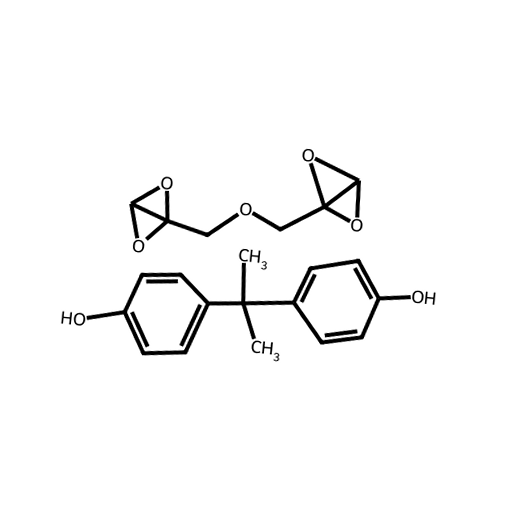 C(OCC12OC1O2)C12OC1O2.CC(C)(c1ccc(O)cc1)c1ccc(O)cc1